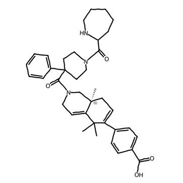 CC1(C)C(c2ccc(C(=O)O)cc2)=CC[C@]2(C)CN(C(=O)C3(c4ccccc4)CCN(C(=O)C4CCCCCN4)CC3)CC=C12